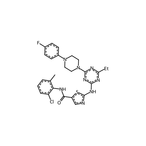 CCc1nc(Nc2ncc(C(=O)Nc3c(C)cccc3Cl)s2)nc(N2CCN(c3ccc(F)cc3)CC2)n1